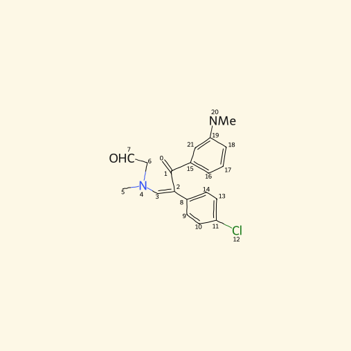 C=C(/C(=C\N(C)CC=O)c1ccc(Cl)cc1)c1cccc(NC)c1